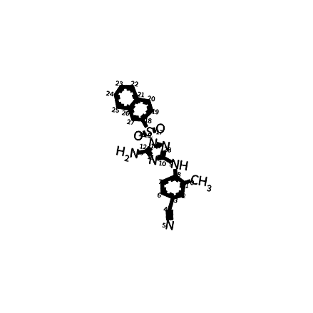 Cc1cc(C#N)ccc1Nc1nc(N)n(S(=O)(=O)c2ccc3ccccc3c2)n1